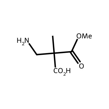 COC(=O)C(C)(CN)C(=O)O